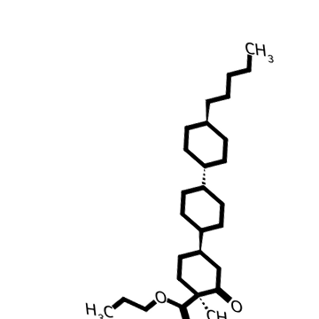 CCCCC[C@H]1CC[C@H](C2CCC([C@@H]3CC[C@](C)(C(=O)OCCC)C(=O)C3)CC2)CC1